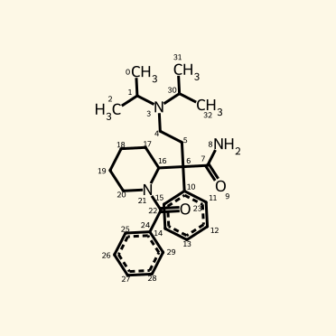 CC(C)N(CCC(C(N)=O)(c1ccccc1)C1CCCCN1C(=O)c1ccccc1)C(C)C